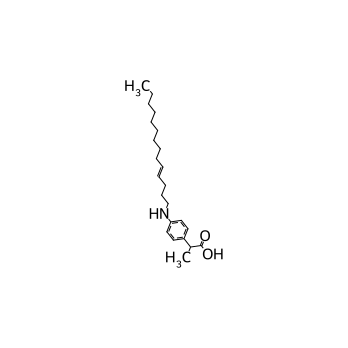 CCCCCCCCC/C=C/CCCNc1ccc(C(C)C(=O)O)cc1